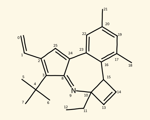 C=CC1=C(C(C)(C)C)C2=NC3(CC)C=CC3c3c(C)cc(C)cc3C2=C1